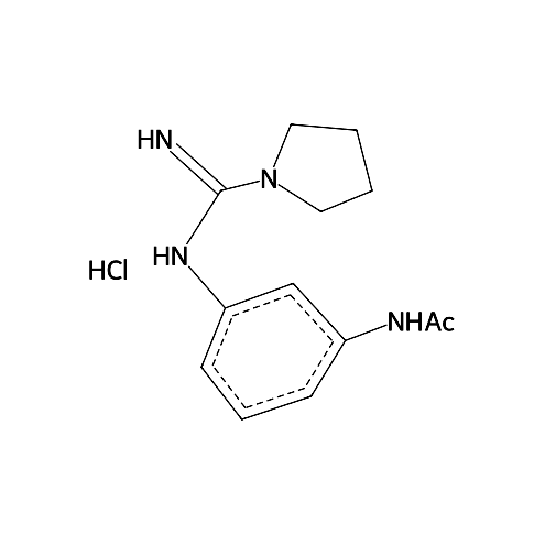 CC(=O)Nc1cccc(NC(=N)N2CCCC2)c1.Cl